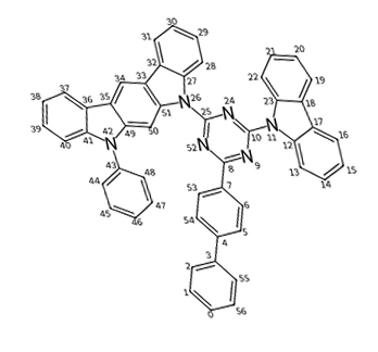 c1ccc(-c2ccc(-c3nc(-n4c5ccccc5c5ccccc54)nc(-n4c5ccccc5c5cc6c7ccccc7n(-c7ccccc7)c6cc54)n3)cc2)cc1